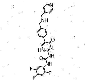 O=C(Nc1nc(=O)c(-c2ccc(CNCc3ccncc3)cc2)c[nH]1)Nc1cc(F)c(F)cc1F